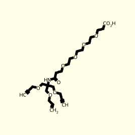 C#CCOCC(COCC#C)(COCC=C)NC(=O)CCOCCOCCOCCOCCC(=O)O